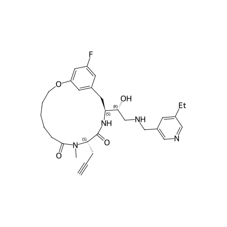 C#CC[C@H]1C(=O)N[C@H]([C@H](O)CNCc2cncc(CC)c2)Cc2cc(F)cc(c2)OCCCCCC(=O)N1C